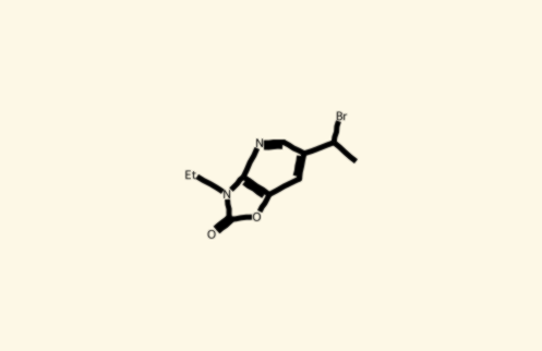 CCn1c(=O)oc2cc(C(C)Br)cnc21